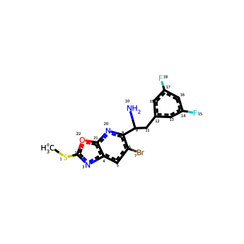 CSc1nc2cc(Br)c(C(N)Cc3cc(F)cc(F)c3)nc2o1